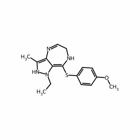 CCN1NC(C)=C2N=CCNC(Sc3ccc(OC)cc3)=C21